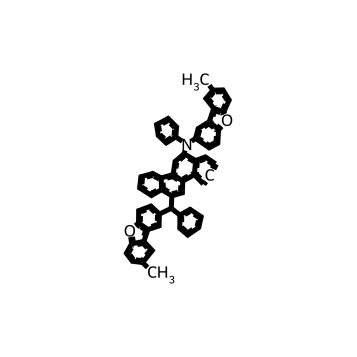 Cc1ccc2oc3ccc(C(c4ccccc4)c4cc5c6ccccc6c(N(c6ccccc6)c6ccc7oc8ccc(C)cc8c7c6)cc5c5ccccc45)cc3c2c1